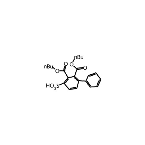 CCCCOC(=O)c1c(-c2ccccc2)ccc(S(=O)(=O)O)c1C(=O)OCCCC